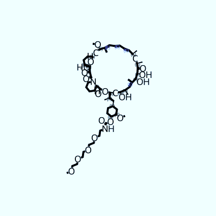 COCCOCCOCCOCCNC(=O)O[C@@H]1CC[C@@H](C[C@@H](C)[C@@H]2C[C@@H](O)[C@H](C)/C=C(\C)[C@@H](O)[C@@H](O)C(=O)[C@H](C)C[C@H](C)/C=C/C=C/C=C(\C)[C@@H](OC)C[C@@H]3CC[C@@H](C)[C@@](O)(O3)C(=O)C(=O)N3CCCC[C@H]3C(=O)O2)C[C@H]1OC